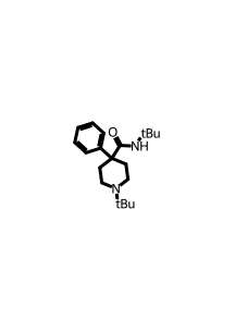 CC(C)(C)NC(=O)C1(c2ccccc2)CCN(C(C)(C)C)CC1